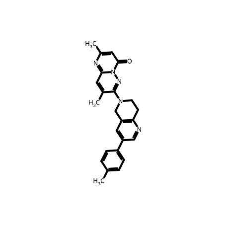 Cc1ccc(-c2cnc3c(c2)CN(c2nn4c(=O)cc(C)nc4cc2C)CC3)cc1